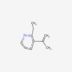 C=C(C)c1cccnc1CC